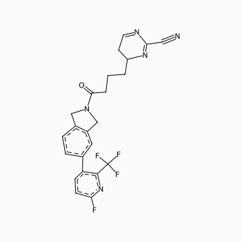 N#CC1=NC(CCCC(=O)N2Cc3ccc(-c4ccc(F)nc4C(F)(F)F)cc3C2)CC=N1